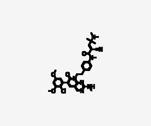 CNc1ncc2cc(-c3cc(OC)cc(OC)c3Cl)c(=O)n(CCc3ccc(N(C)C(=O)C(C#N)=CC(C)(C)N(C)C)cc3)c2n1